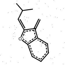 C=c1/c(=C\C(C)C)oc2ccccc12